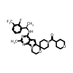 Cc1nc(N[C@H](C)c2cccc(C(F)(F)F)c2F)c2cc3n(c2n1)CCOC31CCN(C(=O)C2CCOCC2)CC1